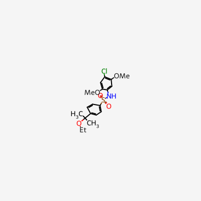 CCOC(C)(C)c1ccc(S(=O)(=O)Nc2cc(OC)c(Cl)cc2OC)cc1